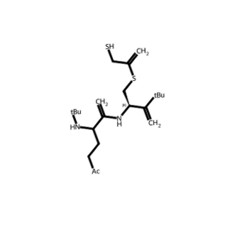 C=C(CS)SC[C@H](NC(=C)C(CCC(C)=O)NC(C)(C)C)C(=C)C(C)(C)C